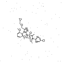 COc1cccc(OC)c1-n1c(COCC2CC2)nnc1NS(=O)(=O)[C@@H](C)[C@H](OC)c1ncc(Cl)cn1